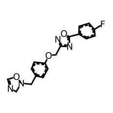 Fc1ccc(-c2nc(COc3ccc(CN4CN=CO4)cc3)no2)cc1